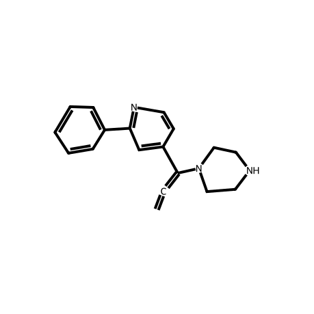 C=C=C(c1ccnc(-c2ccccc2)c1)N1CCNCC1